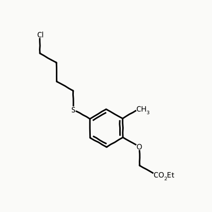 CCOC(=O)COc1ccc(SCCCCCl)cc1C